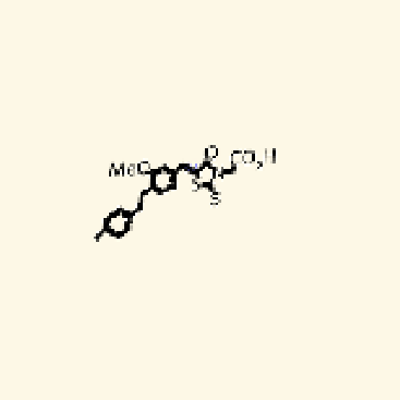 COc1cc(/C=C2\SC(=S)N(CC(=O)O)C2=O)ccc1CCc1ccc(C)cc1